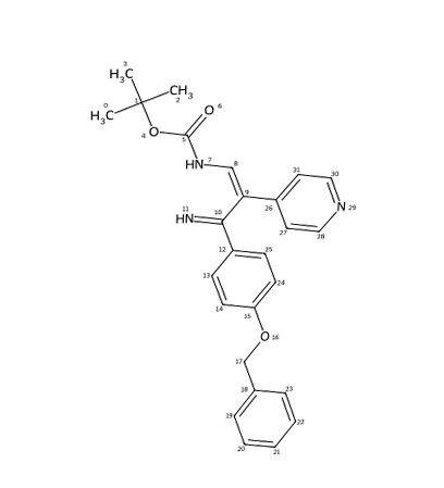 CC(C)(C)OC(=O)N/C=C(\C(=N)c1ccc(OCc2ccccc2)cc1)c1ccncc1